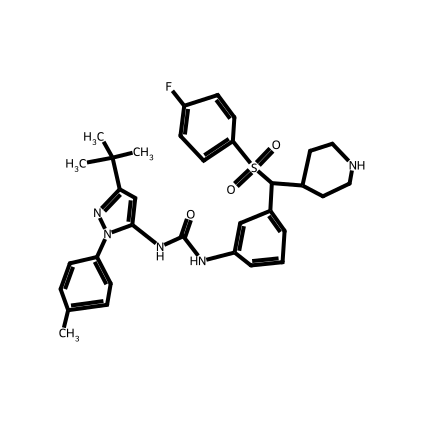 Cc1ccc(-n2nc(C(C)(C)C)cc2NC(=O)Nc2cccc(C(C3CCNCC3)S(=O)(=O)c3ccc(F)cc3)c2)cc1